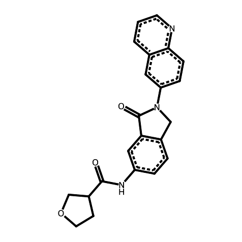 O=C(Nc1ccc2c(c1)C(=O)N(c1ccc3ncccc3c1)C2)C1CCOC1